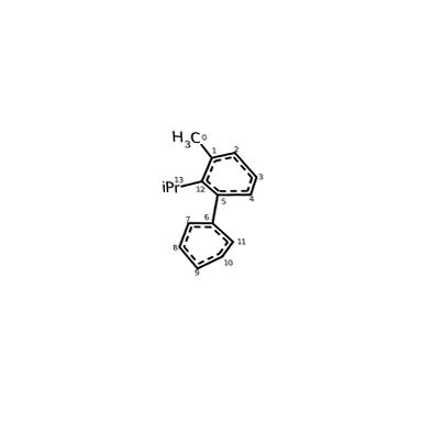 Cc1cccc(-c2ccccc2)c1C(C)C